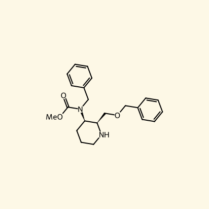 COC(=O)N(Cc1ccccc1)[C@@H]1CCCN[C@@H]1COCc1ccccc1